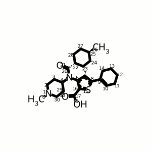 CN1CCC(N(c2cc(C3=CCCCC3)sc2C(=O)O)C(=O)[C@H]2CC[C@H](C)CC2)CC1